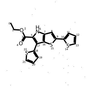 CCOC(=O)c1[nH]c2cc(-c3cccs3)sc2c1-c1cccs1